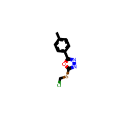 Cc1ccc(-c2nnc(SCCl)o2)cc1